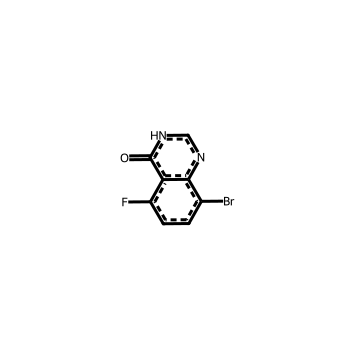 O=c1[nH]cnc2c(Br)ccc(F)c12